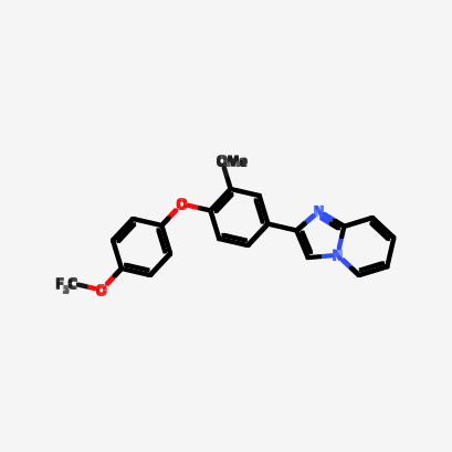 COc1cc(-c2cn3ccccc3n2)ccc1Oc1ccc(OC(F)(F)F)cc1